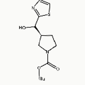 CC(C)(C)OC(=O)N1CC[C@H](C(O)c2nccs2)C1